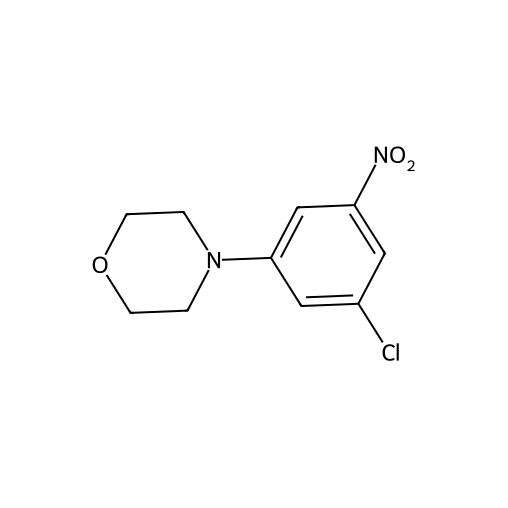 O=[N+]([O-])c1cc(Cl)cc(N2CCOCC2)c1